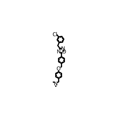 CN(C)Cc1ccc(OCc2ccc(-c3nc(Cc4cccc(Cl)c4)no3)cc2)cc1